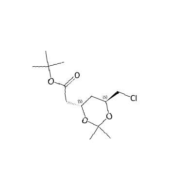 CC(C)(C)OC(=O)C[C@@H]1C[C@@H](CCl)OC(C)(C)O1